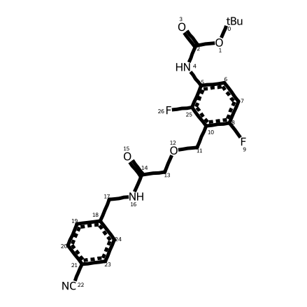 CC(C)(C)OC(=O)Nc1ccc(F)c(COCC(=O)NCc2ccc(C#N)cc2)c1F